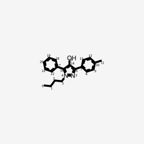 CCCCn1nc(-c2ccc(C)cc2)c(O)c1-c1ccccc1